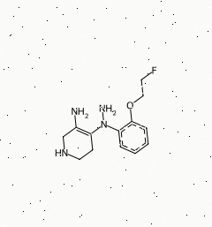 NC1=C(N(N)c2ccccc2OCCF)CCNC1